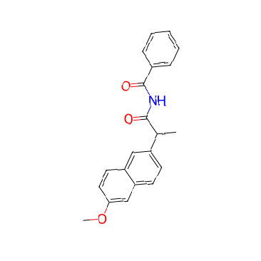 COc1ccc2cc(C(C)C(=O)NC(=O)c3ccccc3)ccc2c1